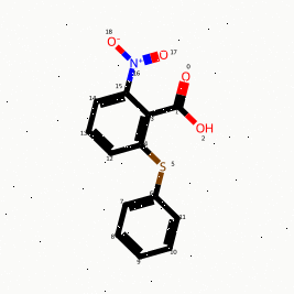 O=C(O)c1c(Sc2ccccc2)cccc1[N+](=O)[O-]